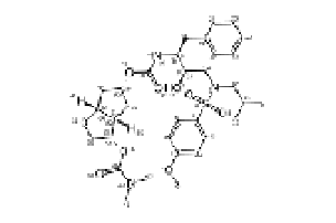 COc1ccc(S(=O)(=O)N(CC(C)C)C[C@@H](O)[C@H](Cc2ccccc2)NC(=O)O[C@@H]2C[C@H]3[C@@H](C2)OC[C@H]3OC(=O)N(C)C)cc1